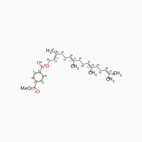 COC(=O)c1ccc(C(=O)OC/C=C(\C)CC/C=C(\C)CC/C=C(\C)CCC=C(C)C)cc1